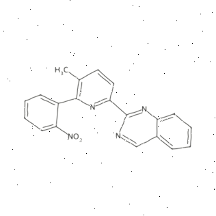 Cc1ccc(-c2ncc3ccccc3n2)nc1-c1ccccc1[N+](=O)[O-]